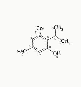 Cc1ccc(C(C)C)c(O)c1.[Co]